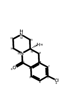 O=C1c2ccc(Cl)cc2C[C@@H]2CNCCN12